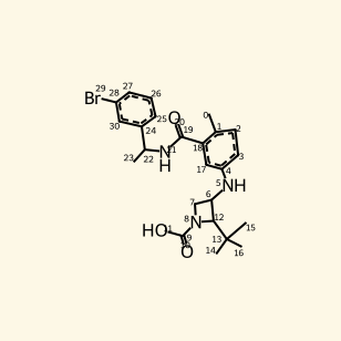 Cc1ccc(NC2CN(C(=O)O)C2C(C)(C)C)cc1C(=O)NC(C)c1cccc(Br)c1